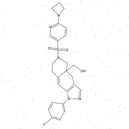 O=S(=O)(c1ccc(N2CCC2)nc1)N1CCC2=Cc3c(cnn3-c3ccc(F)cc3)CC2(CO)C1